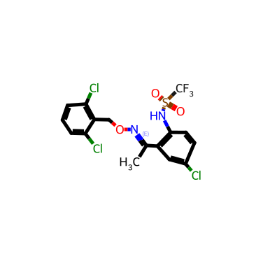 C/C(=N\OCc1c(Cl)cccc1Cl)c1cc(Cl)ccc1NS(=O)(=O)C(F)(F)F